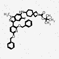 Cn1nc(-c2ccc(OCc3ccccc3)nc2OCc2ccccc2)c2cc(F)c(NC3CCC4(CC3)CN(C(=O)OC(C)(C)C)C4)cc21